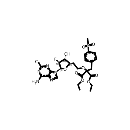 CCOC(=O)C(Cc1ccc(S(C)(=O)=O)cc1)(OCC[C@H]1O[C@@H](n2cnc3c(N)nc(Cl)nc32)[C@@H](F)[C@@H]1O)C(=O)OCC